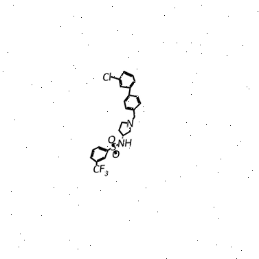 O=S(=O)(N[C@@H]1CCN(Cc2ccc(-c3cccc(Cl)c3)cc2)C1)c1cccc(C(F)(F)F)c1